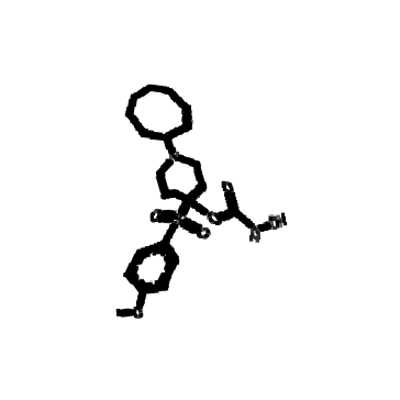 COc1ccc(S(=O)(=O)C2(OC(=O)NO)CCN(C3CCCCCCC3)CC2)cc1